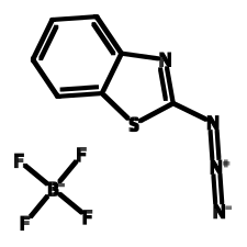 F[B-](F)(F)F.[N-]=[N+]=Nc1nc2ccccc2s1